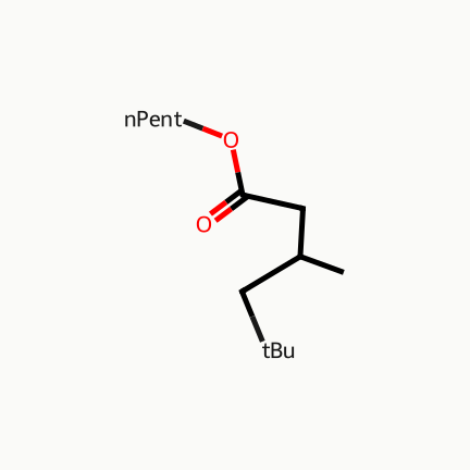 CCCCCOC(=O)CC(C)CC(C)(C)C